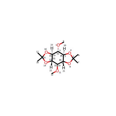 CO[C@@H]1[C@H]2OC(C)(C)O[C@@H]2[C@@H](OC)[C@@H]2OC(C)(C)O[C@@H]12